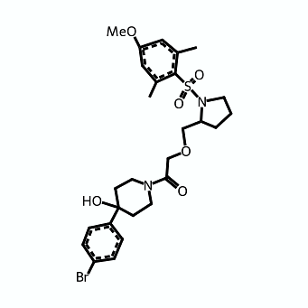 COc1cc(C)c(S(=O)(=O)N2CCCC2COCC(=O)N2CCC(O)(c3ccc(Br)cc3)CC2)c(C)c1